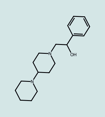 OC(CN1CCC(N2CCCCC2)CC1)c1ccccc1